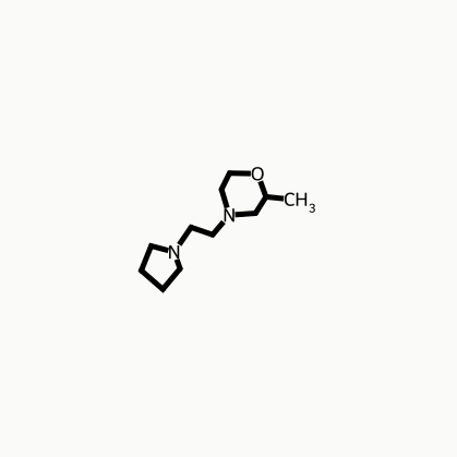 CC1CN(CCN2CCCC2)CCO1